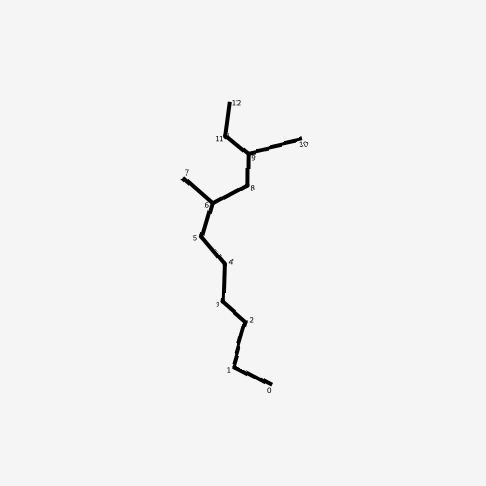 CCCCCCC(C)CC(C)CC